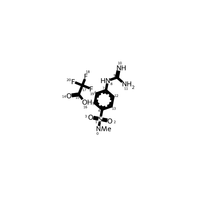 CNS(=O)(=O)c1ccc(NC(=N)N)cc1.O=C(O)C(F)(F)F